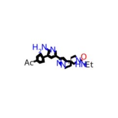 CCNC(=O)N1CC[C@@]2(CCn3nc(-c4cnc(N)c(-c5ccc(C(C)=O)cc5)c4)cc32)C1